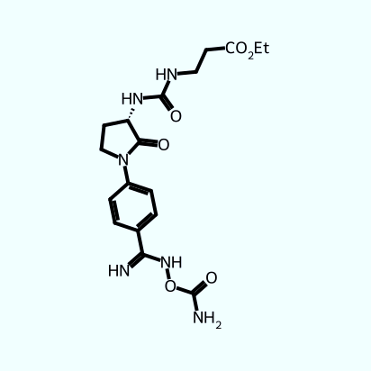 CCOC(=O)CCNC(=O)N[C@H]1CCN(c2ccc(C(=N)NOC(N)=O)cc2)C1=O